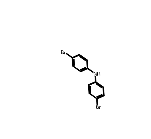 Brc1ccc(Nc2ccc(Br)cc2)cc1